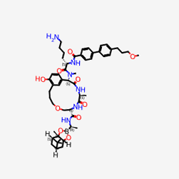 COCCCc1ccc(-c2ccc(C(=O)N[C@@H](CCCCN)C(=O)N(C)[C@@H]3C(=O)N[C@@H](C)C(=O)N[C@H](C(=O)N[C@@H](C)B4O[C@@H]5C[C@@H]6C[C@@H](C6(C)C)[C@]5(C)O4)COCCCc4cc3ccc4O)cc2)cc1